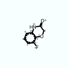 O=C1COc2c(F)c[c]cc2N1